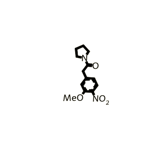 COc1cc(CC(=O)N2CCCC2)ccc1[N+](=O)[O-]